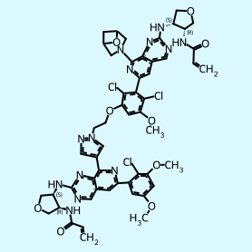 C=CC(=O)N[C@H]1COC[C@H]1Nc1ncc2cc(-c3cc(OC)cc(OC)c3Cl)nc(-c3cnn(CCOc4cc(OC)c(Cl)c(-c5cc6cnc(N[C@@H]7COC[C@@H]7NC(=O)C=C)nc6c(N6CC7CC(C6)O7)n5)c4Cl)c3)c2n1